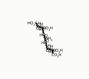 NC(CC(=O)NCCCC[C@H](NC(=O)N[C@@H](CCC(=O)O)C(=O)O)C(=O)O)CC(=O)NCCCC[C@H](NC(=O)N[C@@H](CCC(=O)O)C(=O)O)C(=O)O